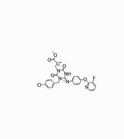 COC(=O)[C@@H](C)Cn1c(=O)[nH]/c(=N\c2ccc(Oc3ncccc3F)cc2)n(Cc2ccc(Cl)cc2)c1=O